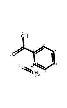 C=O.O=C(O)c1ccccn1